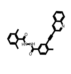 Cc1ccc(C(=O)NNC(=O)c2c(C)cccc2C)cc1C#Cc1cnc2ccccc2c1